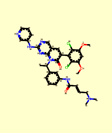 COc1cc(OC)c(Cl)c(-c2cc3cnc(Nc4cccnc4)nc3n(C(C)c3cccc(NC(=O)/C=C/CN(C)C)c3)c2=O)c1Cl